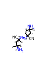 CC(C)(N)CC(C)(C#N)N=NC(C)(C#N)CC(C)(C)N